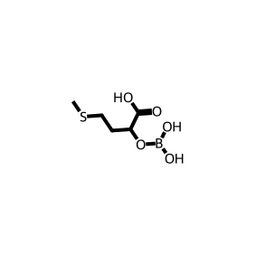 CSCCC(OB(O)O)C(=O)O